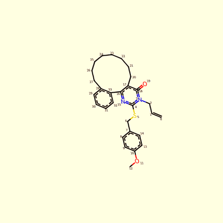 C=CCn1c(SCc2ccc(OC)cc2)nc2c(c1=O)CCCCCCCCc1ccccc1-2